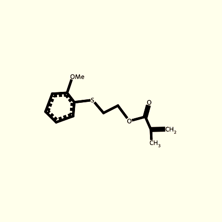 C=C(C)C(=O)OCCSc1ccccc1OC